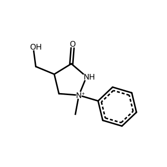 C[N+]1(c2ccccc2)CC(CO)C(=O)N1